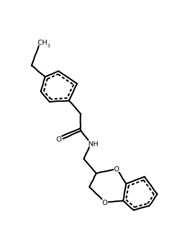 CCc1ccc(CC(=O)NCC2COc3ccccc3O2)cc1